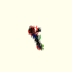 C[Si](C)(C)CCOCn1c(O[C@@H]2CO[C@H]3[C@@H]2OC[C@H]3O)nc2nc(-c3ccc(C4CCS(=O)(=NC(=O)C(F)(F)F)CC4)cc3)c(Cl)cc21